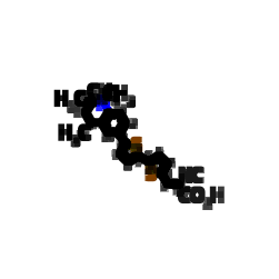 [C-]#[N+]/C(=C\c1ccc(-c2ccc(-c3ccc4c(c3)C(C)CC(C)(C)N4C)s2)s1)C(=O)O